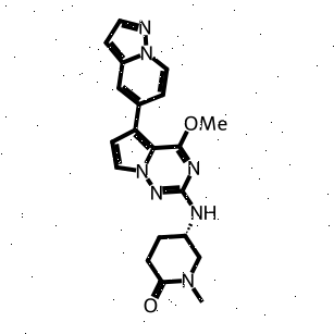 COc1nc(N[C@H]2CCC(=O)N(C)C2)nn2ccc(-c3ccn4nccc4c3)c12